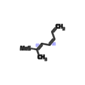 C=C/C=C\C=C(/C)SC